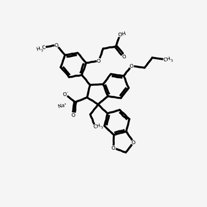 CCCOc1ccc2c(c1)C(c1ccc(OC)cc1OCC(=O)O)C(C(=O)[O-])C2(CC)c1ccc2c(c1)OCO2.[Na+]